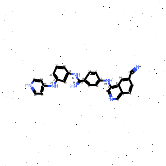 N#Cc1ccc2cncc(Nc3ccc(C(=N)Nc4cccc(Nc5ccncc5)c4)cc3)c2c1